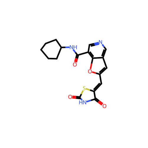 O=C1NC(=O)C(=Cc2cc3cncc(C(=O)NC4CCCCC4)c3o2)S1